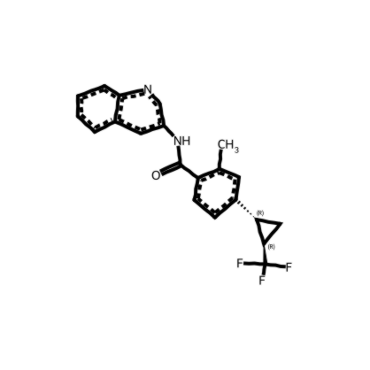 Cc1cc([C@@H]2C[C@H]2C(F)(F)F)ccc1C(=O)Nc1cnc2ccccc2c1